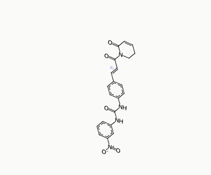 O=C(Nc1ccc(/C=C/C(=O)N2CCC=CC2=O)cc1)Nc1cccc([N+](=O)[O-])c1